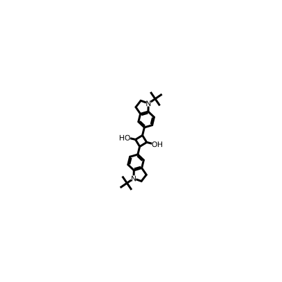 CC(C)(C)N1CCc2cc(C3C(O)C(c4ccc5c(c4)CCN5C(C)(C)C)C3O)ccc21